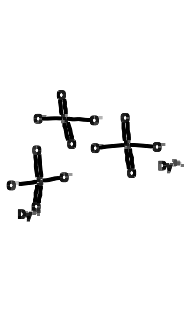 O=S(=O)([O-])[O-].O=S(=O)([O-])[O-].O=S(=O)([O-])[O-].[Dy+3].[Dy+3]